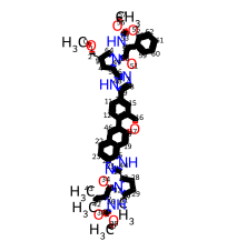 COC[C@H]1CC(c2ncc(-c3ccc4c(c3)COc3cc5c(ccc6nc([C@@H]7CC[C@H](C)N7C(=O)C(NC(=O)OC)C(C)C)[nH]c65)cc3-4)[nH]2)N(C(=O)[C@H](NC(=O)OC)c2ccccc2)C1